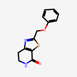 O=C1NCCc2nc(COc3ccccc3)sc21